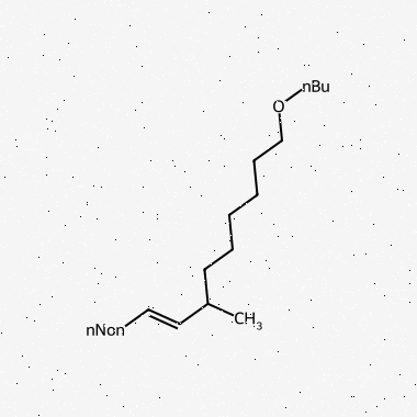 CCCCCCCCC/C=C/C(C)CCCCCCOCCCC